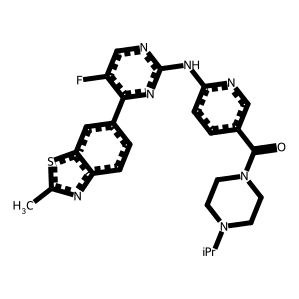 Cc1nc2ccc(-c3nc(Nc4ccc(C(=O)N5CCN(C(C)C)CC5)cn4)ncc3F)cc2s1